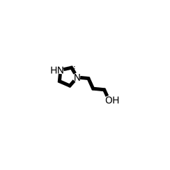 OCCCN1[C]NCC1